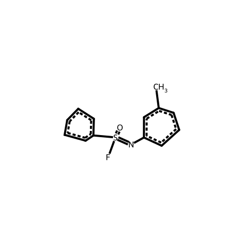 Cc1cccc(N=S(=O)(F)c2ccccc2)c1